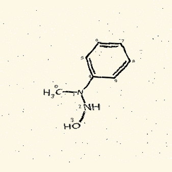 CN(NO)c1ccccc1